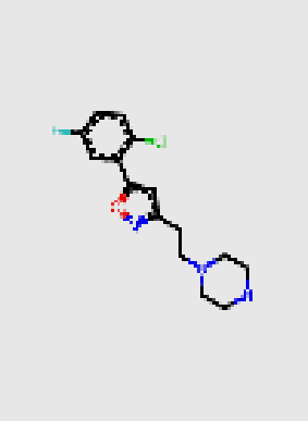 Fc1ccc(Cl)c(-c2cc(CCN3CC[N]CC3)no2)c1